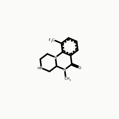 CN1C(=O)c2cccc(C(F)(F)F)c2N2CCNCC12